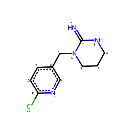 N=C1NCCCN1Cc1ccc(Cl)nc1